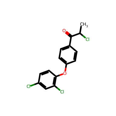 CC(Cl)C(=O)c1ccc(Oc2ccc(Cl)cc2Cl)cc1